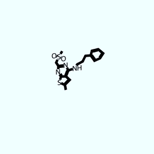 Cc1cc2c(NCCCc3ccccc3)nc(CS(C)(=O)=O)nc2s1